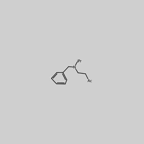 CC(=O)CCN(Cc1ccccc1)C(C)C